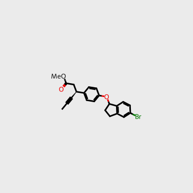 CC#C[C@@H](CC(=O)OC)c1ccc(OC2CCc3cc(Br)ccc32)cc1